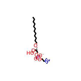 CCCCCCCCCCCCOC[C@H](COP(=O)([O-])OCC[N+](C)(C)C)OO